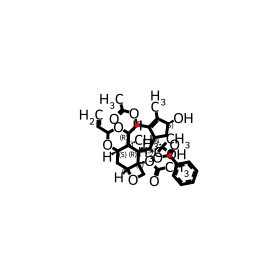 C=CC1O[C@H]2C[C@H]3OC[C@@]3(OC(C)=O)[C@H]3[C@H](OC(=O)c4ccccc4)[C@]4(C(C)(C)O)C[C@H](O)C(C)=C4[C@H](OC(C)=O)[C@H](O1)[C@]23C